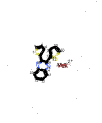 [Br-].[Br-].[Mg+2].c1csc(-c2nc3ccccc3nc2-c2cccs2)c1